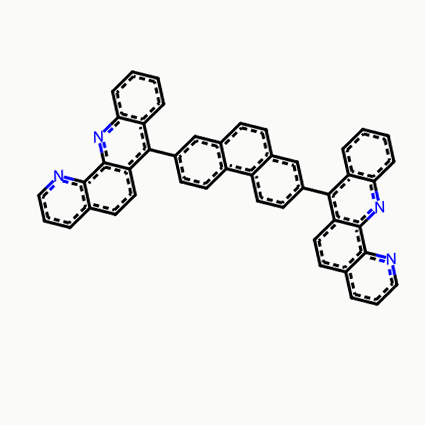 c1cnc2c(c1)ccc1c(-c3ccc4c(ccc5cc(-c6c7ccccc7nc7c6ccc6cccnc67)ccc54)c3)c3ccccc3nc12